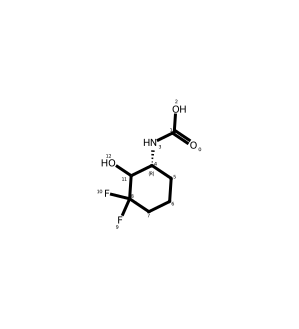 O=C(O)N[C@@H]1CCCC(F)(F)C1O